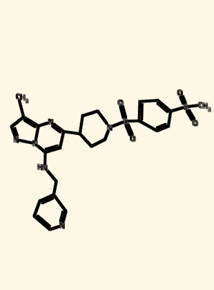 Cc1cnn2c(NCc3cccnc3)cc(C3CCN(S(=O)(=O)c4ccc(S(C)(=O)=O)cc4)CC3)nc12